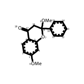 COc1ccc2c(c1)OC(OC)(c1ccccc1)CC2=O